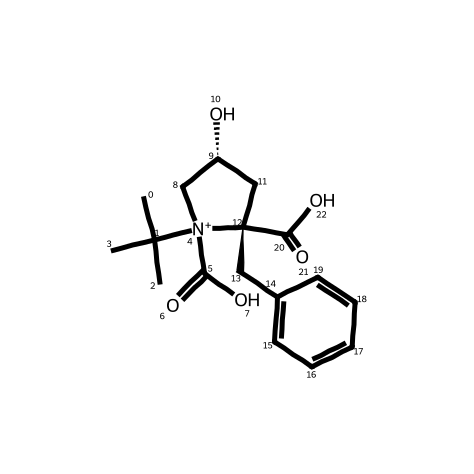 CC(C)(C)[N+]1(C(=O)O)C[C@H](O)C[C@]1(Cc1ccccc1)C(=O)O